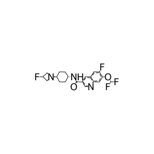 O=C(N[C@H]1CC[C@H](N2CC(F)C2)CC1)c1cnc2cc(OC(F)F)c(F)cc2c1